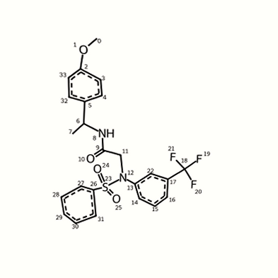 COc1ccc(C(C)NC(=O)CN(c2cccc(C(F)(F)F)c2)S(=O)(=O)c2ccccc2)cc1